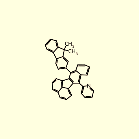 CC1(C)c2ccccc2-c2ccc(-c3c4c(c(-c5ccccn5)c5ccccc35)-c3cccc5cccc-4c35)cc21